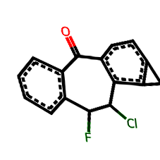 O=C1c2ccccc2C(F)C(Cl)c2c1ccc1c2C1